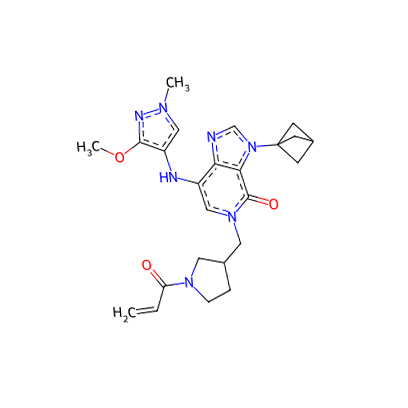 C=CC(=O)N1CCC(Cn2cc(Nc3cn(C)nc3OC)c3ncn(C45CC(C4)C5)c3c2=O)C1